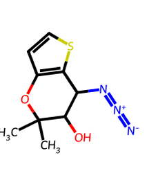 CC1(C)Oc2ccsc2C(N=[N+]=[N-])C1O